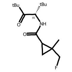 CC(C)(C)C(=O)[C@@H](NC(=O)C1CC1(C)CF)C(C)(C)C